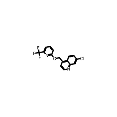 FC(F)(F)c1cccc(OCc2ccnc3cc(Cl)ccc23)n1